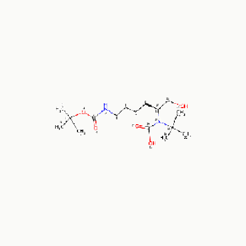 CC(C)(C)OC(=O)NCCCC[C@@H](CO)N(C(=O)O)C(C)(C)C